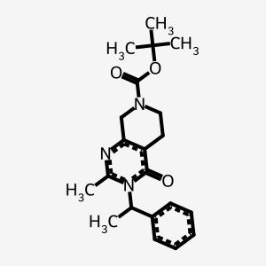 Cc1nc2c(c(=O)n1C(C)c1ccccc1)CCN(C(=O)OC(C)(C)C)C2